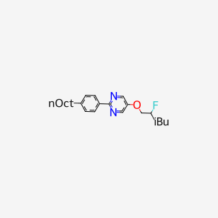 CCCCCCCCc1ccc(-c2ncc(OCC(F)C(C)CC)cn2)cc1